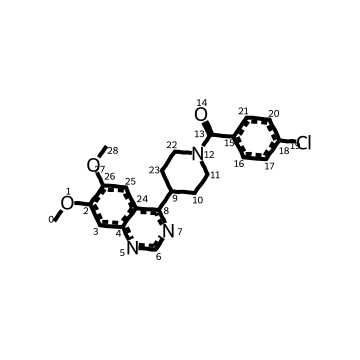 COc1cc2ncnc(C3CCN(C(=O)c4ccc(Cl)cc4)CC3)c2cc1OC